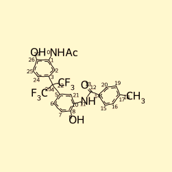 CC(=O)Nc1cc(C(c2ccc(O)c(NC(=O)c3ccc(C)cc3)c2)(C(F)(F)F)C(F)(F)F)ccc1O